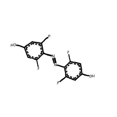 Oc1cc(F)c(/N=N/c2c(F)cc(O)cc2F)c(F)c1